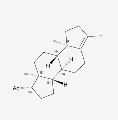 CC(=O)[C@H]1CC[C@H]2[C@@H]3CCC4=C(C)CC[C@]4(C)[C@H]3CC[C@]12C